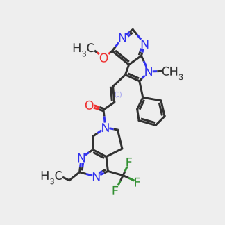 CCc1nc2c(c(C(F)(F)F)n1)CCN(C(=O)/C=C/c1c(-c3ccccc3)n(C)c3ncnc(OC)c13)C2